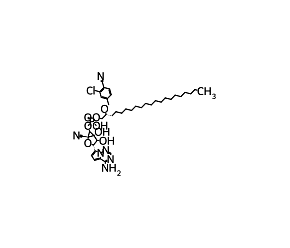 CCCCCCCCCCCCCCCCCCC[C@H](COP(=O)(O)OC1[C@@]2(C#N)O[C@@H](c3ccc4c(N)ncnn34)[C@H](O)[C@@]12O)OCc1ccc(C#N)c(Cl)c1